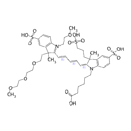 COCCOCCOCCC1(C)C(/C=C/C=C/C=C2/N(CCCCCC(=O)O)c3ccc(S(=O)(=O)O)cc3C2(C)CCCS(=O)(=O)O)=[N+](CCOC)c2ccc(S(=O)(=O)O)cc21